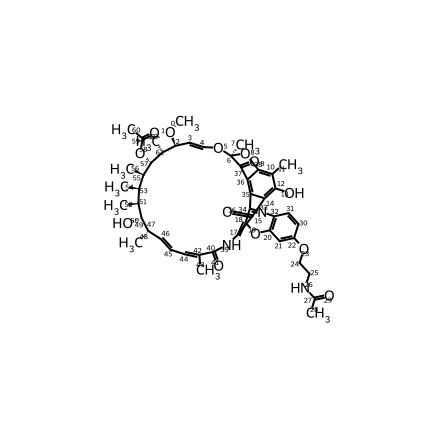 CO[C@H]1/C=C/O[C@@]2(C)Oc3c(C)c(O)c4c(=O)c(c5oc6cc(OCCNC(C)=O)ccc6nc-5c4c3C2=O)NC(=O)/C(C)=C\C=C\[C@H](C)[C@H](O)[C@@H](C)[C@@H](C)[C@@H](C)[C@H](OC(C)=O)[C@@H]1C